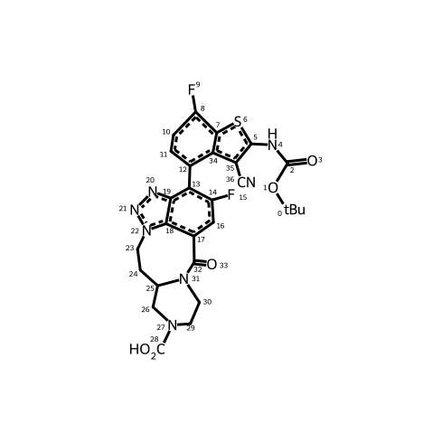 CC(C)(C)OC(=O)Nc1sc2c(F)ccc(-c3c(F)cc4c5c3nnn5CCC3CN(C(=O)O)CCN3C4=O)c2c1C#N